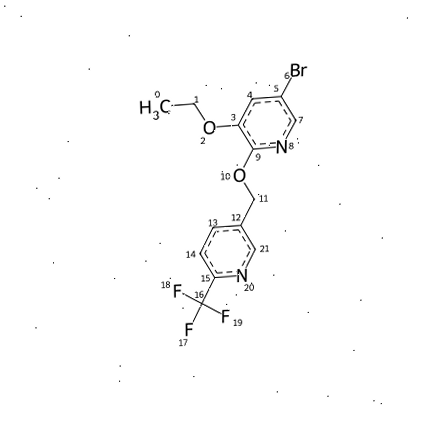 CCOc1cc(Br)cnc1OCc1ccc(C(F)(F)F)nc1